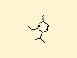 COc1nc(=O)ccn1C(C)C